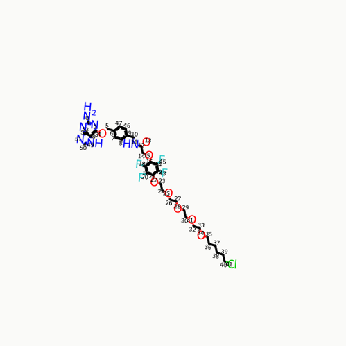 Nc1nc(OCc2ccc(CNC(=O)COc3c(F)c(F)c(OCCOCCOCCOCCOCCCCCCCl)c(F)c3F)cc2)c2[nH]cnc2n1